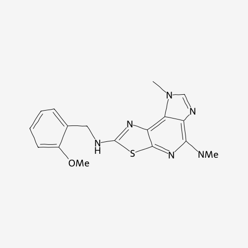 CNc1nc2sc(NCc3ccccc3OC)nc2c2c1ncn2C